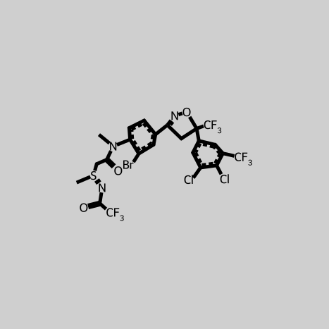 CN(C(=O)CS(C)=NC(=O)C(F)(F)F)c1ccc(C2=NOC(c3cc(Cl)c(Cl)c(C(F)(F)F)c3)(C(F)(F)F)C2)cc1Br